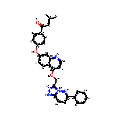 CC(C)=CC(=O)c1ccc(Oc2ccc3c(OCc4nnc5ccc(-c6ccccc6)nn45)ccnc3c2)cc1